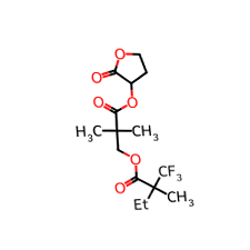 CCC(C)(C(=O)OCC(C)(C)C(=O)OC1CCOC1=O)C(F)(F)F